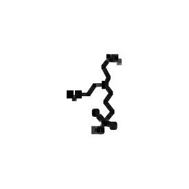 NCCN(CCN)CCCS(=O)(=O)O